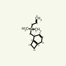 C=CC[N+](C)(C)CC1C=CCC2=C1CC2